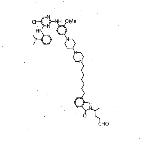 COc1cc(N2CCC(N3CCN(CCCCCCCc4cccc5c4CN(C(C)CCC=O)C5=O)CC3)CC2)ccc1Nc1ncc(Cl)c(Nc2ccccc2P(C)C)n1